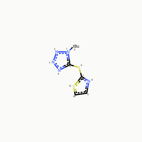 CC(C)(C)n1nnnc1Sc1nccs1